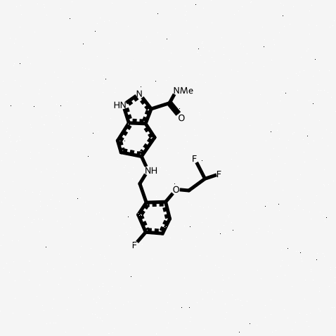 CNC(=O)c1n[nH]c2ccc(NCc3cc(F)ccc3OCC(F)F)cc12